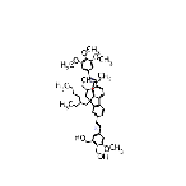 CCCCC(CC)CC1(CC(CC)CCCC)c2cc(/C=C/c3cc(CO)c(CO)c(OC)c3)ccc2-c2ccc(/C=C/c3cc(OC)c(OC)c(OC)c3)cc21